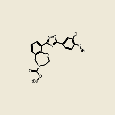 CC(C)Oc1ccc(-c2nc(-c3cccc4c3OCCN(C(=O)OC(C)(C)C)C4)no2)cc1Cl